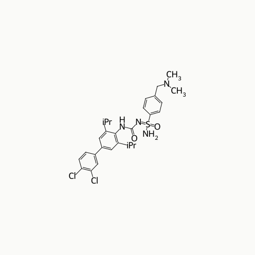 CC(C)c1cc(-c2ccc(Cl)c(Cl)c2)cc(C(C)C)c1NC(=O)N=S(N)(=O)c1ccc(CN(C)C)cc1